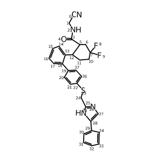 N#CCNC(=O)C1CC(F)(F)CCC1c1ccccc1-c1ccc(SCc2ncc(-c3ccccc3)[nH]2)cc1